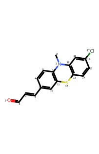 CN1c2ccc(/C=C/C=O)cc2Sc2ccc(Cl)cc21